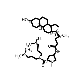 C[C@H](CCC(=O)NC1CN[C@H](C(=O)N(CCCN(C)C)CCCN(C)C)C1)[C@H]1CCC2C3CCC4C[C@H](O)CC[C@]4(C)C3CC[C@@]21C